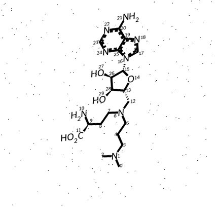 CN(C)CCCN(CC[C@H](N)C(=O)O)C[C@H]1O[C@@H](n2cnc3c(N)ncnc32)[C@H](O)[C@@H]1O